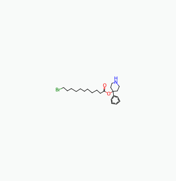 O=C(CCCCCCCCCCBr)OC1(c2ccccc2)CCNCC1